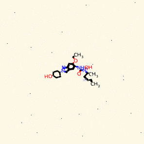 C=C/C=C\C(C)=[N+](\O)C(=O)Nc1cc2cn([C@H]3CC[C@@H](O)CC3)nc2cc1OCC